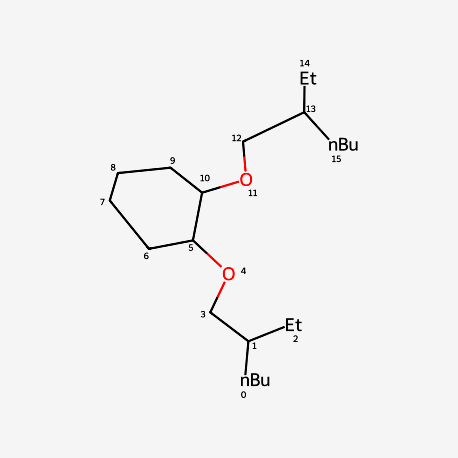 CCCCC(CC)COC1CCCCC1OCC(CC)CCCC